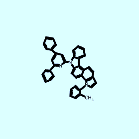 Cc1ccccc1-n1ccc2ccc3c(ccc4c3c3ccccc3n4-c3cc(-c4ccccc4)cc(-c4ccccc4)n3)c21